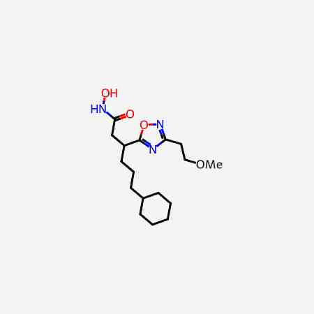 COCCc1noc(C(CCCC2CCCCC2)CC(=O)NO)n1